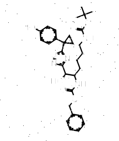 CC(C)(C)OC(=O)NCCCCC(NC(=O)OCc1ccccc1)C(O)c1noc(C2(c3ccc(O)cc3)CC2)n1